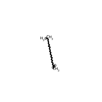 COC(=O)CCCCCCCCCCCCCCCCCCCCC(C)C